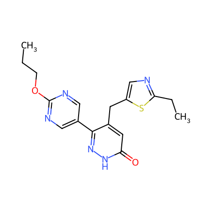 CCCOc1ncc(-c2n[nH]c(=O)cc2Cc2cnc(CC)s2)cn1